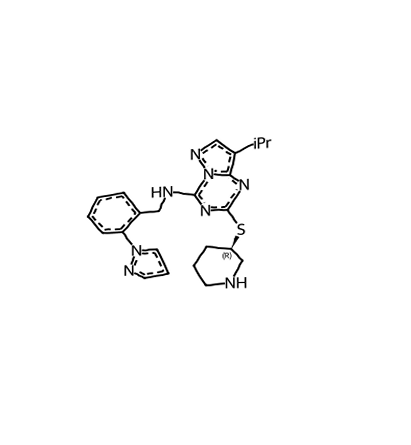 CC(C)c1cnn2c(NCc3ccccc3-n3cccn3)nc(S[C@@H]3CCCNC3)nc12